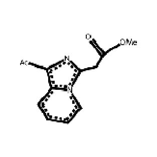 COC(=O)Cc1nc(C(C)=O)c2ccccn12